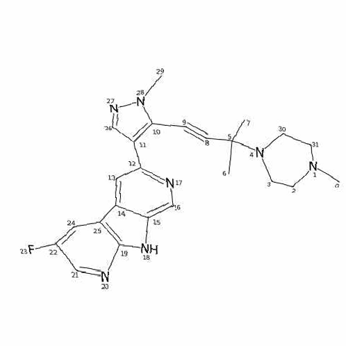 CN1CCN(C(C)(C)C#Cc2c(-c3cc4c(cn3)[nH]c3ncc(F)cc34)cnn2C)CC1